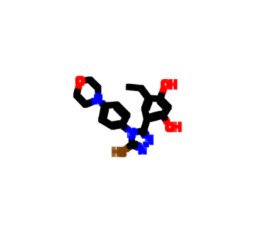 CCc1cc(-c2nnc(S)n2-c2ccc(N3CCOCC3)cc2)c(O)cc1O